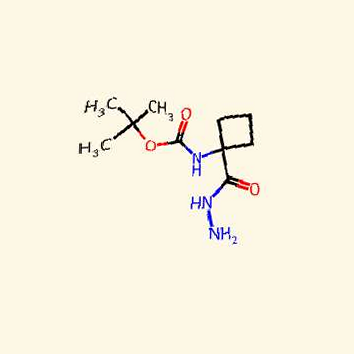 CC(C)(C)OC(=O)NC1(C(=O)NN)CCC1